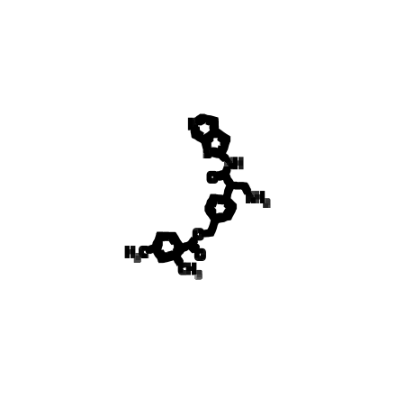 Cc1ccc(C(=O)OCc2ccc(C(CN)C(=O)Nc3cc4ccncc4s3)cc2)c(C)c1